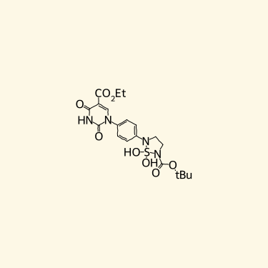 CCOC(=O)c1cn(-c2ccc(N3CCN(C(=O)OC(C)(C)C)S3(O)O)cc2)c(=O)[nH]c1=O